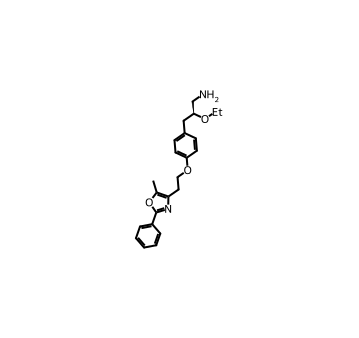 CCO[C@H](CN)Cc1ccc(OCCc2nc(-c3ccccc3)oc2C)cc1